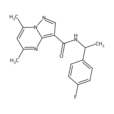 Cc1cc(C)n2ncc(C(=O)NC(C)c3ccc(F)cc3)c2n1